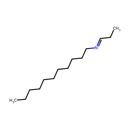 CCC=NCCCCCCCCCCC